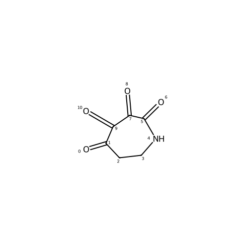 O=C1CCNC(=O)C(=O)C1=O